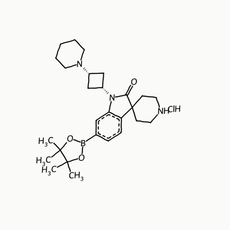 CC1(C)OB(c2ccc3c(c2)N([C@H]2C[C@@H](N4CCCCC4)C2)C(=O)C32CCNCC2)OC1(C)C.Cl